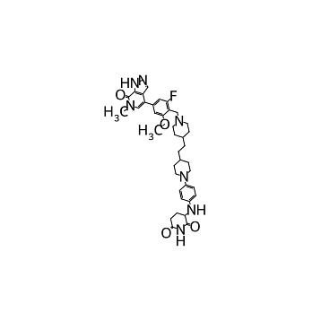 COc1cc(-c2cn(C)c(=O)c3[nH]ncc23)cc(F)c1CN1CCC(CCC2CCN(c3ccc(NC4CCC(=O)NC4=O)cc3)CC2)CC1